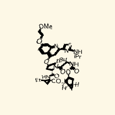 CCC1C[C@]1(NC(=O)[C@@H]1C[C@@H](Oc2cc(-c3csc(NC(C)C)n3)nc3cc(OCCOC)ccc23)CN1C(=O)[C@@H](NC(=O)O[C@@H]1C[C@@H]2C[C@@H]2C1)C(C)(C)C)C(=O)O